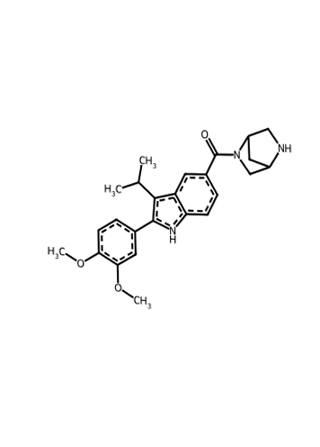 COc1ccc(-c2[nH]c3ccc(C(=O)N4CC5CC4CN5)cc3c2C(C)C)cc1OC